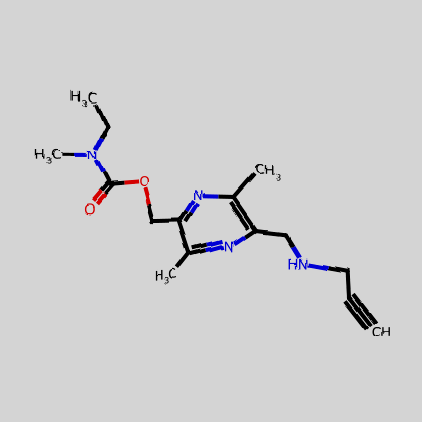 C#CCNCc1nc(C)c(COC(=O)N(C)CC)nc1C